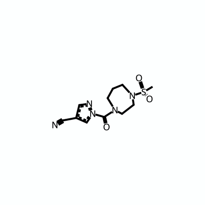 CS(=O)(=O)N1CCCN(C(=O)n2cc(C#N)cn2)CC1